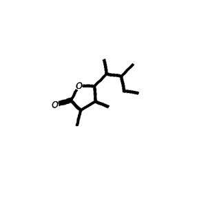 CCC(C)C(C)C1OC(=O)C(C)C1C